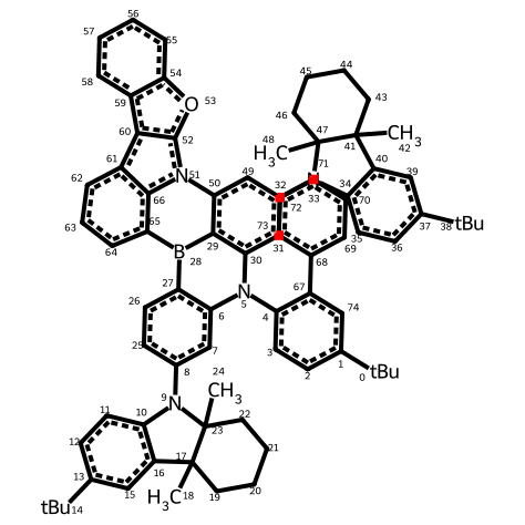 CC(C)(C)c1ccc(N2c3cc(N4c5ccc(C(C)(C)C)cc5C5(C)CCCCC45C)ccc3B3c4c2cc(N2c5ccc(C(C)(C)C)cc5C5(C)CCCCC25C)cc4-n2c4oc5ccccc5c4c4cccc3c42)c(-c2ccccc2)c1